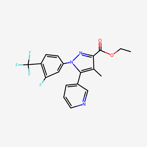 CCOC(=O)c1nn(-c2ccc(C(F)(F)F)c(F)c2)c(-c2cccnc2)c1C